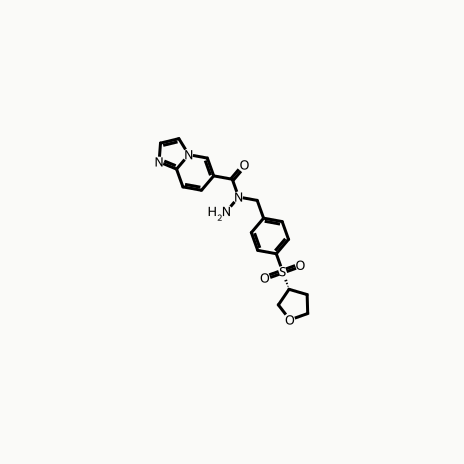 NN(Cc1ccc(S(=O)(=O)[C@@H]2CCOC2)cc1)C(=O)c1ccc2nccn2c1